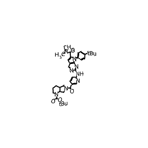 CN(C)C(=O)c1cc2cnc(Nc3ccc(C(=O)N4CC5CCCN(C(=O)OC(C)(C)C)C5C4)cn3)nc2n1-c1ccc(C(C)(C)C)cc1